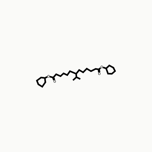 CC(C)C(CCCCCC(=O)OC1CCCCC1)CCCCCC(=O)OC1CCCCC1